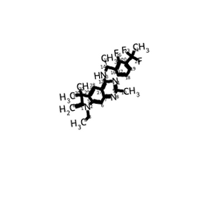 C=C1N(CC)c2cc3nc(C)nc(N[C@H](C)c4cccc(C(C)(F)F)c4F)c3cc2C1(C)C